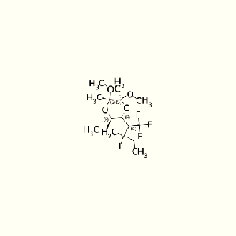 CC[C@H]1O[C@](C)(OC)[C@@](C)(OC)O[C@@H]1[C@@H](C(F)(F)F)C(C)(I)CC